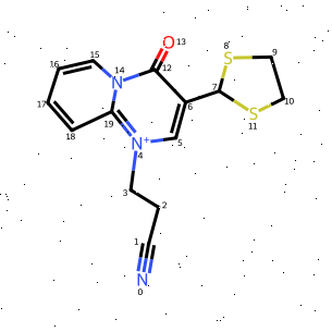 N#CCC[n+]1cc(C2SCCS2)c(=O)n2ccccc21